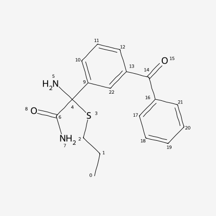 CCCSC(N)(C(N)=O)c1cccc(C(=O)c2ccccc2)c1